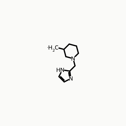 [CH2]C1CCCN(Cc2ncc[nH]2)C1